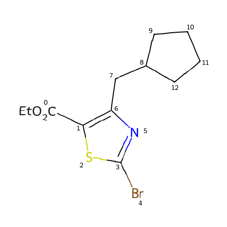 CCOC(=O)c1sc(Br)nc1CC1CCCC1